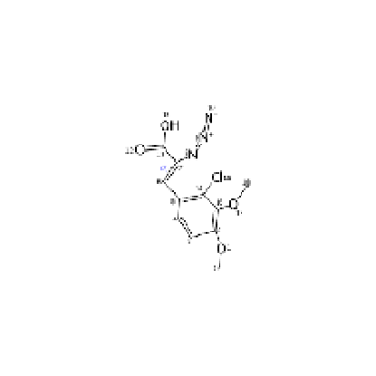 COc1ccc(/C=C(\N=[N+]=[N-])C(=O)O)c(Cl)c1OC